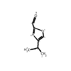 CC(C)c1coc(C=O)n1